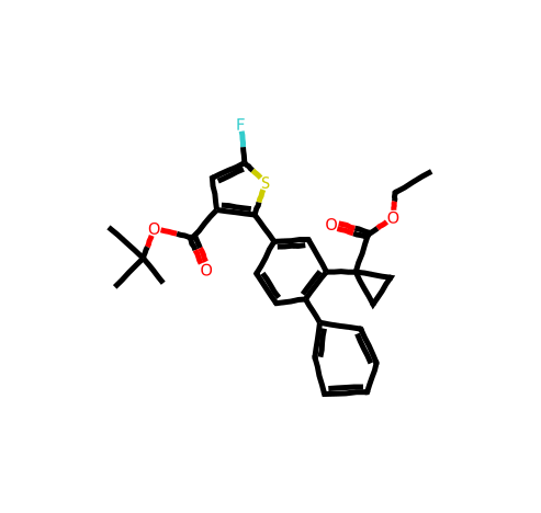 CCOC(=O)C1(c2cc(-c3sc(F)cc3C(=O)OC(C)(C)C)ccc2-c2ccccc2)CC1